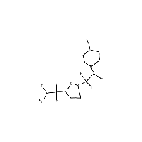 CN1CCN(C(F)C(F)(F)C2CCC(C(F)(F)C(F)C(F)(F)F)O2)CC1